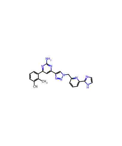 Cc1c(C#N)cccc1-c1cc(-c2cn(Cc3cccc(-c4ncc[nH]4)n3)nn2)nc(N)n1